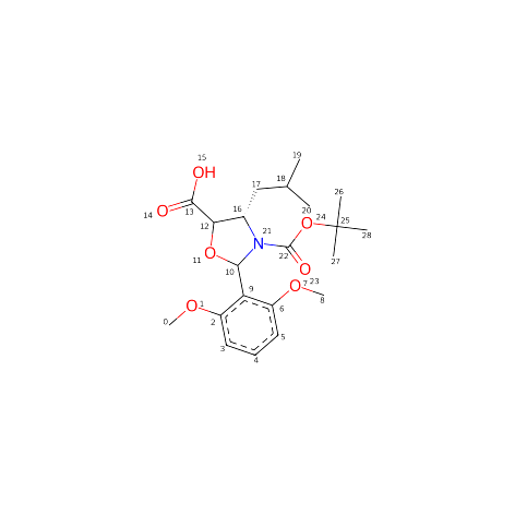 COc1cccc(OC)c1C1OC(C(=O)O)[C@H](CC(C)C)N1C(=O)OC(C)(C)C